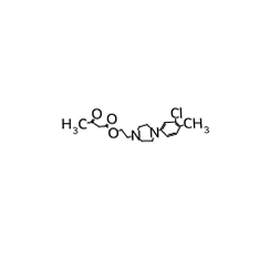 CC(=O)CC(=O)OCCN1CCN(c2ccc(C)c(Cl)c2)CC1